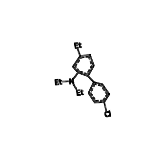 [CH2]Cc1ccc(-c2ccc(Cl)cc2)c(N(CC)CC)c1